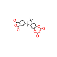 CC1(C)CC(C)(c2ccc3c(c2)C(=O)OC3=O)c2cc3c(cc21)OC(=O)OC(=O)O3